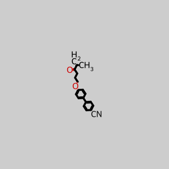 C=C(C)C(=O)CCCOc1ccc(-c2ccc(C#N)cc2)cc1